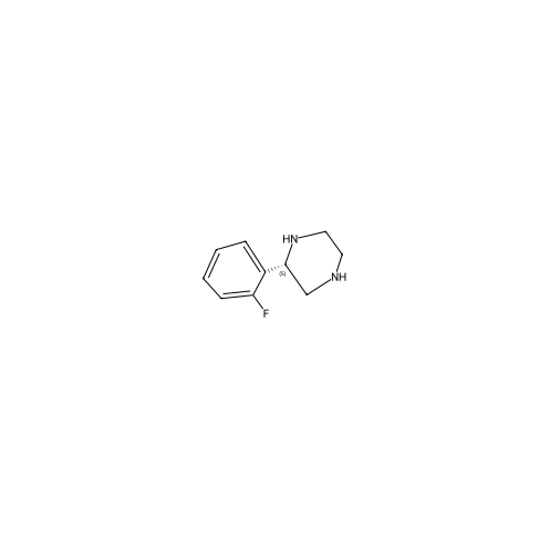 Fc1ccccc1[C@H]1CNCCN1